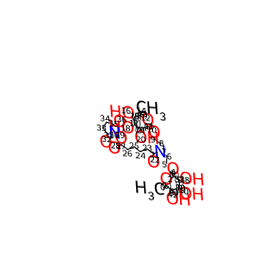 C[C@@H]1O[C@@H](OCCN(CCO[C@@H]2O[C@@H](C)[C@@H](O)[C@@H](O)[C@@H]2O)C(=O)CCCCC(=O)ON2C(=O)CCC2=O)[C@@H](O)[C@H](O)[C@@H]1O